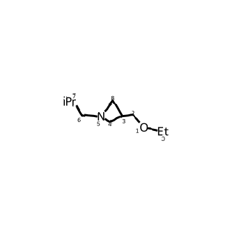 CCOCC1CN(CC(C)C)C1